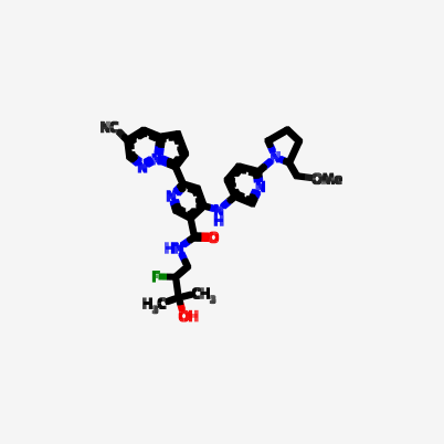 COCC1CCCN1c1ccc(Nc2cc(-c3ccc4cc(C#N)cnn34)ncc2C(=O)NCC(F)C(C)(C)O)cn1